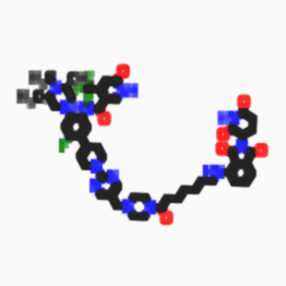 C[C@@H]1CN(c2cc(F)c(C3=CCN(c4ncc(CN5CCN(C(=O)CCCCCCNc6cccc7c6C(=O)N(C6CCC(=O)NC6=O)C7=O)CC5)cn4)CC3)cc2NC(=O)c2c[nH]c(=O)cc2C(F)(F)F)C[C@H](C)N1C